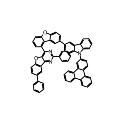 c1ccc(-c2ccc3oc4c(-c5cccc6oc7ccc(-c8ccc9c(c8)c8ccccc8n9-c8ccc9c%10ccccc%10c%10ccccc%10c9c8)cc7c56)nc(-c5ccccc5)nc4c3c2)cc1